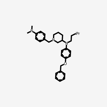 CC(C)CCN(c1ccc(OCc2ccccc2)cc1)C1CCCN(Cc2ccc(N(C)C)cc2)C1